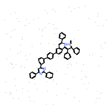 C=C=C(/C(=C1\NC(c2ccccc2)=Cc2cc(-c3ccc(-c4cccc(-c5cc(-c6ccccc6)nc(-c6ccccc6)n5)c4)cc3)ccc21)c1ccccc1)c1ccccc1